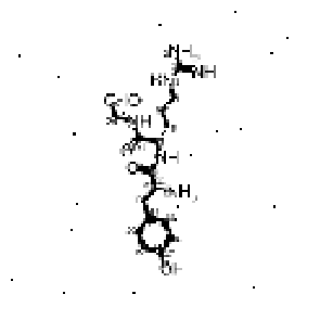 N=C(N)NCCC[C@H](NC(=O)[C@@H](N)Cc1ccc(O)cc1)C(=O)NC[C]=O